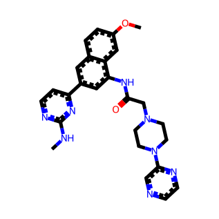 CNc1nccc(-c2cc(NC(=O)CN3CCN(c4cnccn4)CC3)c3cc(OC)ccc3c2)n1